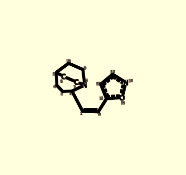 C(=C/C1CCC2CCN1CC2)/c1ccno1